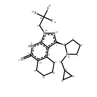 O=c1[nH]c2c(c([C@H]3CCCN3CC3CC3)nn2CC(F)(F)F)c2c1CCCC2